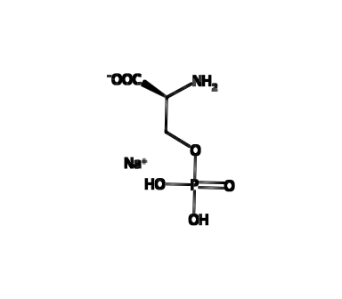 N[C@@H](COP(=O)(O)O)C(=O)[O-].[Na+]